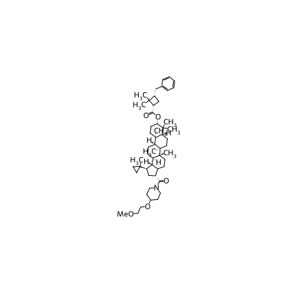 COCCOC1CCN(C(=O)[C@@H]2C[C@@H](C3(C)CC3)[C@H]3C2CC[C@]2(C)[C@@H]3CC[C@@H]3[C@@]4(C)CC[C@H](OC(=O)[C@H]5C[C@@H](Cc6ccccc6)C5(C)C)C(C)(C)[C@@H]4CC[C@]32C)CC1